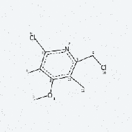 COc1c(C)c(Cl)nc(CCl)c1C